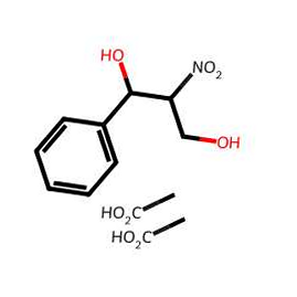 CC(=O)O.CC(=O)O.O=[N+]([O-])C(CO)C(O)c1ccccc1